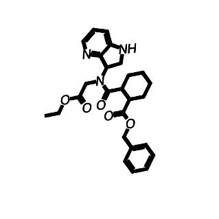 CCOC(=O)CN(C(=O)C1CCCCC1C(=O)OCc1ccccc1)C1CNc2cccnc21